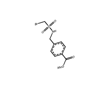 COC(=O)c1ccc(CNS(=O)(=O)CBr)cc1